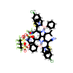 CC(C)c1c2/c(=C(\C#N)c3nc4ccc(Cl)cc4s3)n(B(c3ccccc3)c3ccccc3)c(-c3cccc(OS(=O)(=O)C(F)(F)C(F)(F)C(F)(F)S(=O)(=O)NS(=O)(=O)C(F)(F)F)c3)c2/c(=C(\C#N)c2nc3ccc(Cl)cc3s2)n1B(c1ccccc1)c1ccccc1